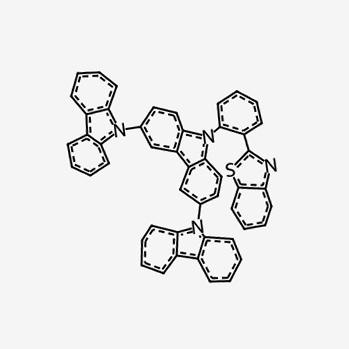 c1ccc(-n2c3ccc(-n4c5ccccc5c5ccccc54)cc3c3cc(-n4c5ccccc5c5ccccc54)ccc32)c(-c2nc3ccccc3s2)c1